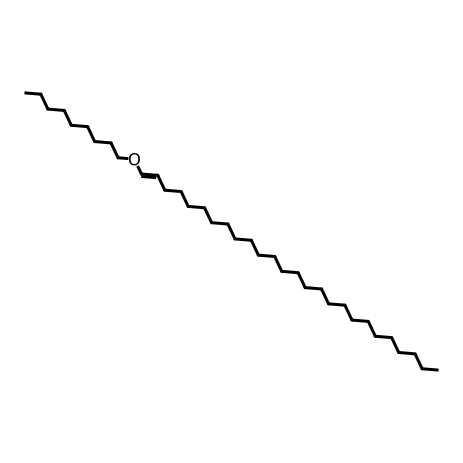 CCCCCCCCCCCCCCCCCCCCCCCCC=COCCCCCCCCC